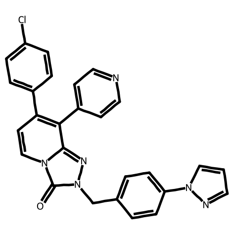 O=c1n(Cc2ccc(-n3cccn3)cc2)nc2c(-c3ccncc3)c(-c3ccc(Cl)cc3)ccn12